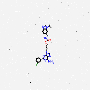 CC(C)n1cnc2ccc(CNC(=O)OCCCCn3cnc4c(N)nc(-c5cccc(F)c5)nc43)cc21